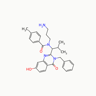 Cc1ccc(C(=O)N(CCCN)C(c2nc3cc(O)ccc3c(=O)n2Cc2ccccc2)C(C)C)cc1